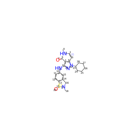 CN/C=C\c1c(C=O)c(Nc2ccc3c(c2)CN(C)[S+]3[O-])nn1C1CCCCC1